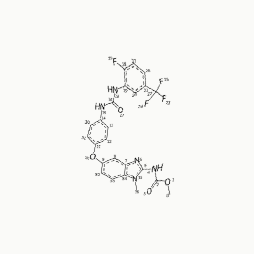 COC(=O)Nc1nc2cc(Oc3ccc(NC(=O)Nc4cc(C(F)(F)F)ccc4F)cc3)ccc2n1C